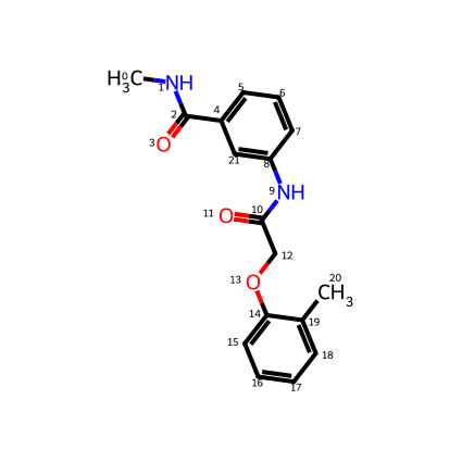 CNC(=O)c1cccc(NC(=O)COc2ccccc2C)c1